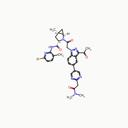 CC(=O)c1nn(CC(=O)N2[C@H](C(=O)Nc3nc(Br)ccc3C)C[C@@]3(C)C[C@@H]23)c2ccc(-c3cnc(CC(=O)N(C)C)nc3)cc12